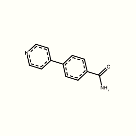 NC(=O)c1ccc(-c2ccncc2)cc1